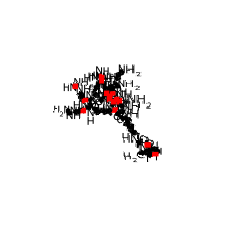 C=C1c2c(I)c(I)c(I)c(I)c2C(=O)N1CC(=O)NCCCCCC(=O)N[C@H](CCCNC(=N)N)C(=O)NCCCCCC(=O)N[C@H](CCCNC(=N)N)C(=O)NC(CCCNC(=N)N)C(=O)N[C@H](CCCNC(=N)N)C(=O)NC(CCCNC(=N)N)C(=O)N[C@H](CCCNC(=N)N)C(=O)NC(CCCNC(=N)N)C(=O)N[C@H](CCCCN)C(N)=O